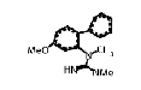 CNC(=N)N(C)c1cc(OC)ccc1-c1ccccc1